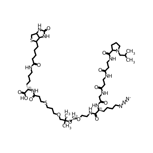 CC(C)CN1CCCC1C(=O)NCCC(=O)NCCC(=O)NCC(=O)N[C@@H](CCCCN=[N+]=[N-])C(=O)NCCO[SiH2]OC(C)(C)COCCCSCCC(=O)N[C@@H](CCCCNC(=O)CCCCC1SCC2NC(=O)NC21)C(=O)O